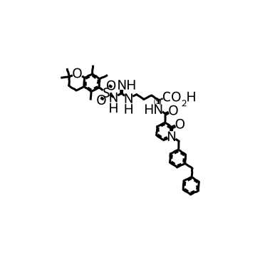 Cc1c(C)c(S(=O)(=O)NC(=N)NCCC[C@H](NC(=O)c2cccn(Cc3cccc(Cc4ccccc4)c3)c2=O)C(=O)O)c(C)c2c1OC(C)(C)CC2